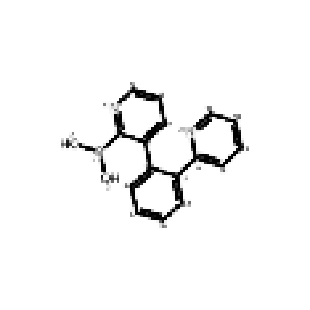 OB(O)c1ncccc1-c1ccccc1-c1ccccn1